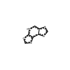 c1nc2c[nH]c3ocnc3c-2n1